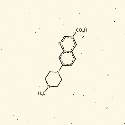 CN1CCN(c2ccc3cc(C(=O)O)cnc3c2)CC1